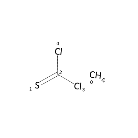 C.S=C(Cl)Cl